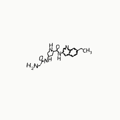 CCc1ccc2cc(NC(=O)C3CC(NC(=O)CN)CN3)cnc2c1